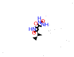 O=c1[nH]cc(-c2c[nH]c(=O)c([C@H]3C[C@@H]3C3CC3)c2)c(=O)[nH]1